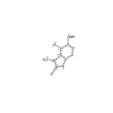 COc1ccc2sc(=O)n(C)c2c1Cl